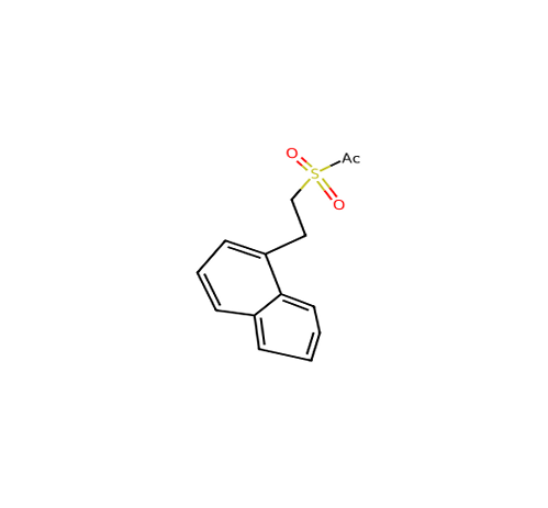 CC(=O)S(=O)(=O)CCc1cccc2ccccc12